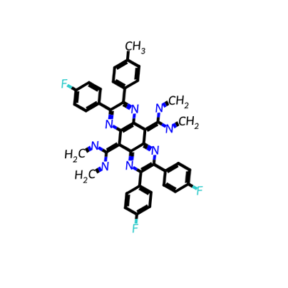 C=NC(N=C)=c1c2nc(-c3ccc(C)cc3)c(-c3ccc(F)cc3)nc2c(=C(N=C)N=C)c2nc(-c3ccc(F)cc3)c(-c3ccc(F)cc3)nc12